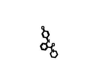 O=C1C=CC(=Nc2ccccc2C(=O)N2CCCCC2)C=C1